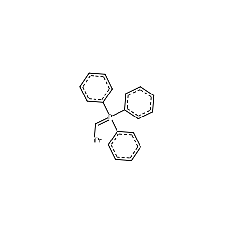 CC(C)C=P(c1ccccc1)(c1ccccc1)c1ccccc1